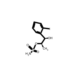 C[C@@H](OS(N)(=O)=O)[C@H](O)c1ccccc1I